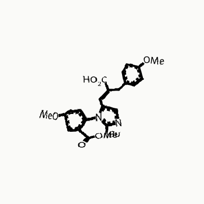 CCCCc1ncc(/C=C(\Cc2ccc(OC)cc2)C(=O)O)n1-c1ccc(OC)cc1C(=O)OC